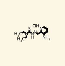 CCN(CC)C(=S)NN=Cc1ncccc1N.Cl